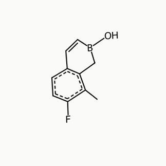 Cc1c(F)ccc2c1CB(O)C=C2